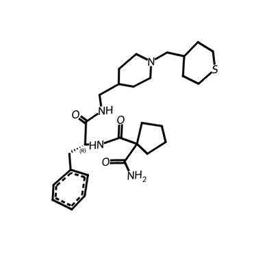 NC(=O)C1(C(=O)N[C@H](Cc2ccccc2)C(=O)NCC2CCN(CC3CCSCC3)CC2)CCCC1